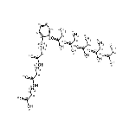 CCC(=O)O.CCC(=O)O.CCC(=O)O.CCC(=O)O.CCC(=O)O.CCC(=O)O.CCC(=O)O.CCC(=O)O.Cc1ccccc1